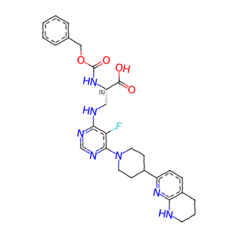 O=C(N[C@@H](CNc1ncnc(N2CCC(c3ccc4c(n3)NCCC4)CC2)c1F)C(=O)O)OCc1ccccc1